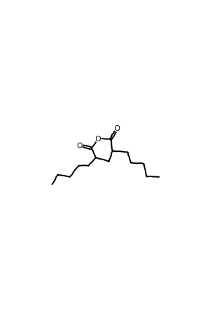 CCCCCC1CC(CCCCC)C(=O)OC1=O